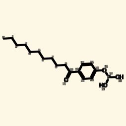 CCCCCCCCCCC(=O)c1ccc(OP(O)O)cc1